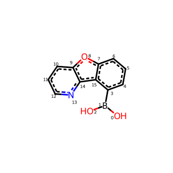 OB(O)c1cccc2oc3cccnc3c12